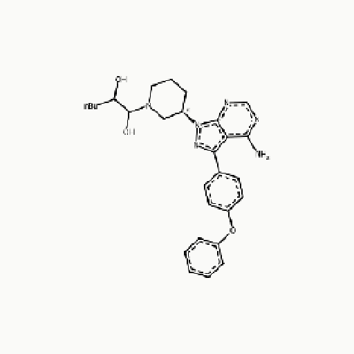 CCCCC(O)C(O)N1CCC[C@@H](n2nc(-c3ccc(Oc4ccccc4)cc3)c3c(N)ncnc32)C1